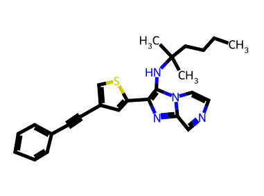 CCCCC(C)(C)Nc1c(-c2cc(C#Cc3ccccc3)cs2)nc2cnccn12